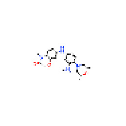 CC1CN(c2ccc(Nc3ccc4c(c3)OCC(=O)N4C)cc2N(C)C)CC(C)O1